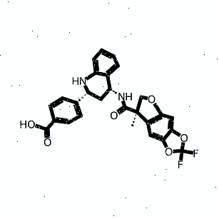 C[C@]1(C(=O)N[C@@H]2C[C@H](c3ccc(C(=O)O)cc3)Nc3ccccc32)COc2cc3c(cc21)OC(F)(F)O3